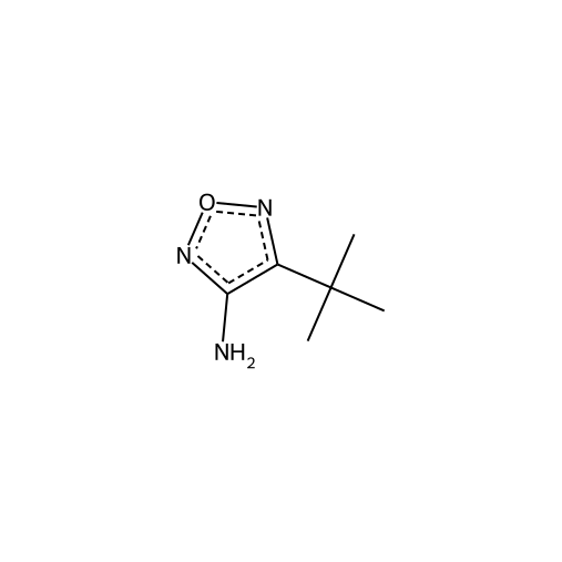 CC(C)(C)c1nonc1N